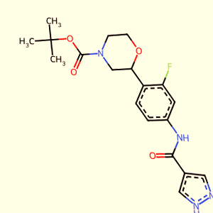 CC(C)(C)OC(=O)N1CCOC(c2ccc(NC(=O)c3cn[nH]c3)cc2F)C1